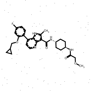 COCC(=O)N[C@H]1CC[C@H](NC(=O)c2c(C)[nH]c3c(-c4ccc(F)cc4OCC4CC4)ccnc23)CC1